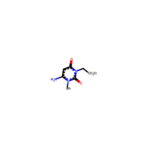 CCCn1c(N)cc(=O)n(CC(=O)OCC)c1=O